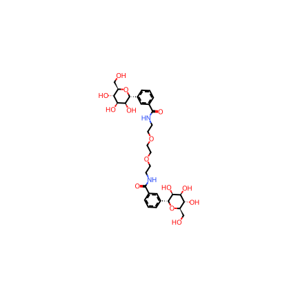 O=C(NCCOCCOCCNC(=O)c1cccc([C@H]2O[C@H](CO)[C@@H](O)[C@H](O)[C@@H]2O)c1)c1cccc([C@H]2O[C@H](CO)[C@@H](O)[C@H](O)[C@@H]2O)c1